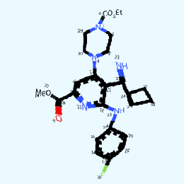 CCOC(=O)N1CCN(c2cc(C(=O)OC)nc(Nc3ccc(F)cc3)c2C(=N)C2CCC2)CC1